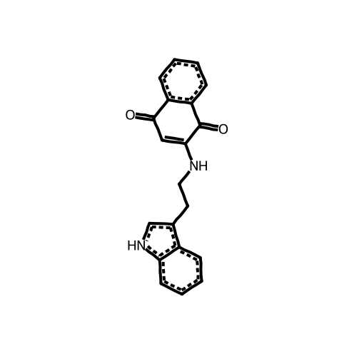 O=C1C=C(NCCc2c[nH]c3ccccc23)C(=O)c2ccccc21